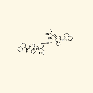 CC[C@H](NC)C(=O)N[C@@H](CC#CC#CC[C@H](NC(=O)[C@H](C)NC)C(=O)N1CCC[C@H]1C(=O)N[C@@H]1CCCc2ccccc21)C(=O)N1CCC[C@H]1C(=O)N[C@@H]1CCCc2ccccc21